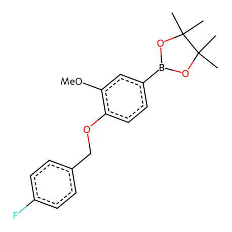 COc1cc(B2OC(C)(C)C(C)(C)O2)ccc1OCc1ccc(F)cc1